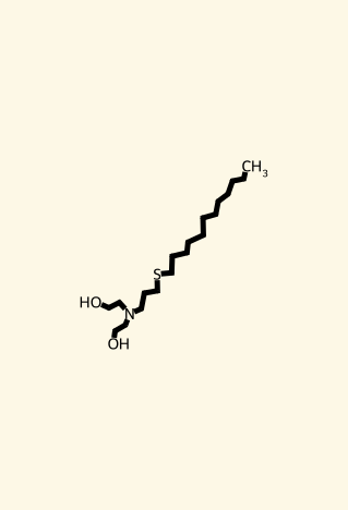 CCCCCCCCCCCCSCCCN(CCO)CCO